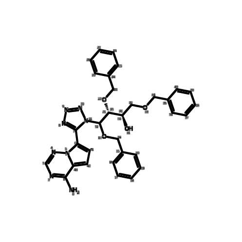 Nc1ncnn2c(-c3nnnn3C(OCc3ccccc3)[C@H](OCc3ccccc3)[C@H](O)COCc3ccccc3)ccc12